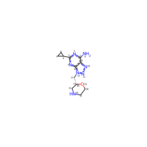 Nc1nc(C2CC2)nc2c1nnn2C[C@H]1CNCCO1